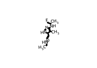 CCNO/C=C/C1NC=NC(NC(C)CF)=C1C